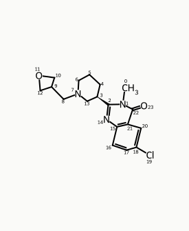 Cn1c([C@@H]2CCCN(CC3COC3)C2)nc2ccc(Cl)cc2c1=O